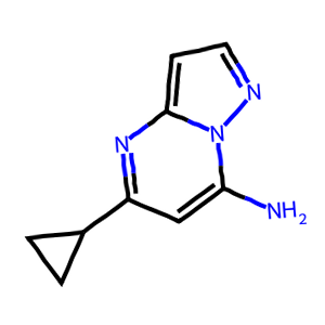 Nc1cc(C2CC2)nc2ccnn12